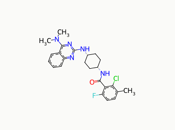 Cc1ccc(F)c(C(=O)N[C@H]2CC[C@@H](Nc3nc(N(C)C)c4ccccc4n3)CC2)c1Cl